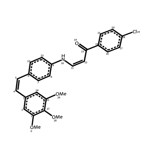 COc1cc(/C=C\c2ccc(N/C=C\C(=O)c3ccc(Cl)cc3)cc2)cc(OC)c1OC